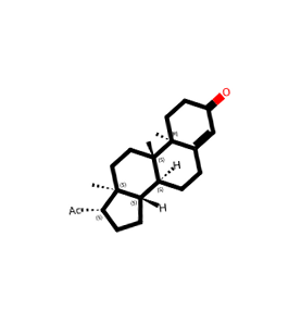 CC(=O)[C@H]1CC[C@H]2[C@@H]3CCC4=CC(=O)CC[C@]4(C)[C@@]3(C)CC[C@]12C